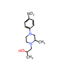 CC(O)CN1CCN(c2ccc([N+](=O)[O-])cc2)CC1C